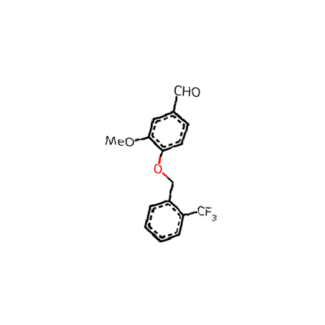 COc1cc(C=O)ccc1OCc1ccccc1C(F)(F)F